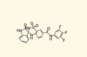 O=C(Nc1cc(F)c(F)c(F)c1)c1ccc2c(c1)S(=O)(=O)NC1(N2)C(=O)Nc2ccccc21